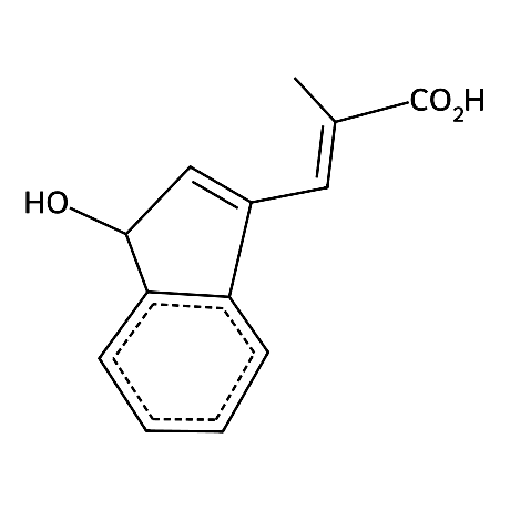 CC(=CC1=CC(O)c2ccccc21)C(=O)O